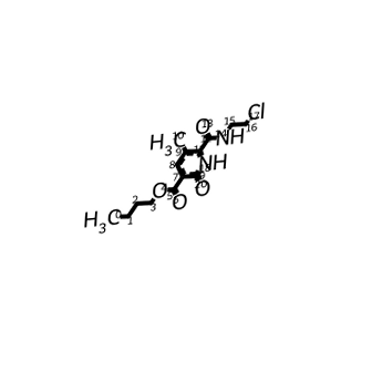 CCCCOC(=O)c1cc(C)c(C(=O)NCCCl)[nH]c1=O